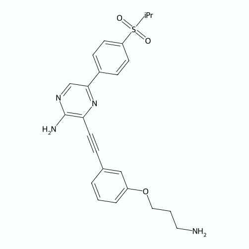 CC(C)S(=O)(=O)c1ccc(-c2cnc(N)c(C#Cc3cccc(OCCCN)c3)n2)cc1